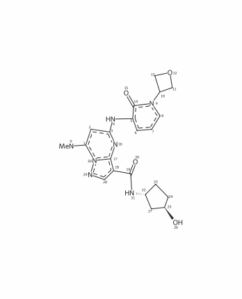 CNc1cc(Nc2cccn(C3COC3)c2=O)nc2c(C(=O)N[C@@H]3CC[C@@H](O)C3)cnn12